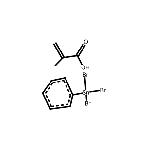 C=C(C)C(=O)O.[Br][Sn]([Br])([Br])[c]1ccccc1